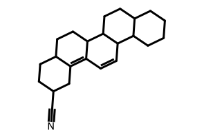 N#CC1CCC2CCC3C(=C2C1)C=CC1C2CCCCC2CCC31